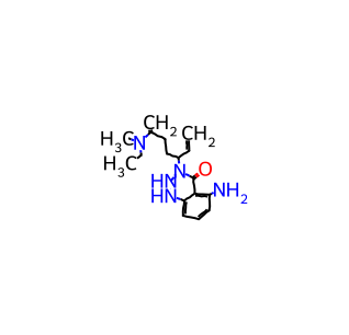 C=CC(CCC(=C)N(C)CC)N1NNc2cccc(N)c2C1=O